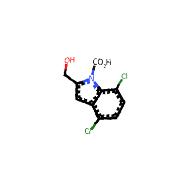 O=C(O)n1c(CO)cc2c(Cl)ccc(Cl)c21